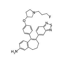 Nc1ccc2c(c1)CCCC(c1ccc3nsnc3c1)=C2c1ccc(OC2CCN(CCCF)C2)cc1